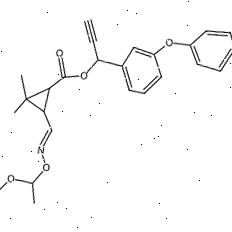 C#CC(OC(=O)C1C(C=NOC(C)OC)C1(C)C)c1cccc(Oc2ccccc2)c1